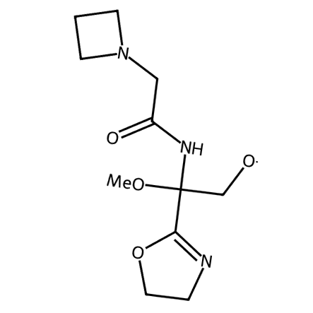 COC(C[O])(NC(=O)CN1CCC1)C1=NCCO1